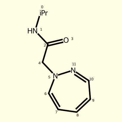 CC(C)NC(=O)CN1C=CC=CC=N1